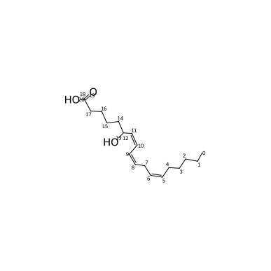 CCCCC/C=C\C/C=C\C=C/C(O)CCCCC(=O)O